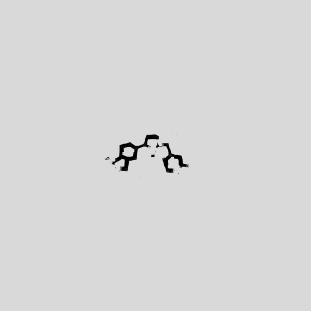 CC1=CC(c2ccc3c(c2)c(C)nn3C)N(C)N1Cc1ccnc(C)c1